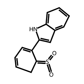 O=S(=O)=C1CC=CC=C1c1cc2ccccc2[nH]1